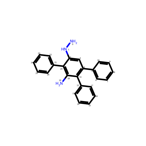 NNc1cc(-c2ccccc2)c(-c2ccccc2)c(N)c1-c1ccccc1